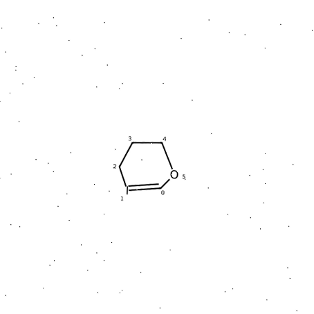 C1=ICCCO1